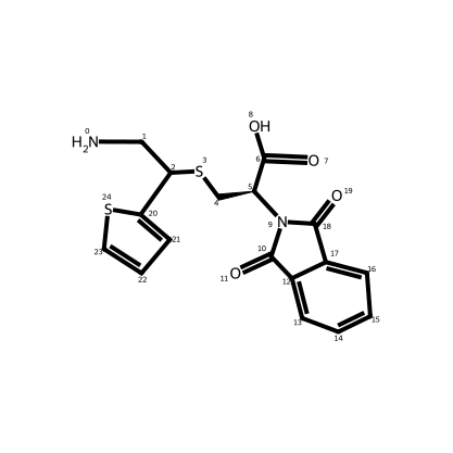 NCC(SC[C@@H](C(=O)O)N1C(=O)c2ccccc2C1=O)c1cccs1